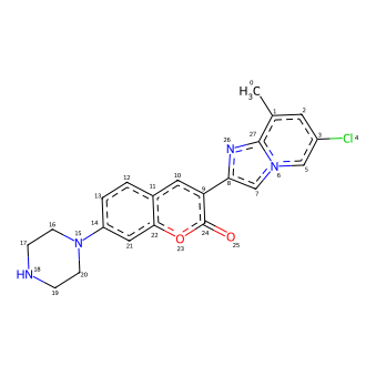 Cc1cc(Cl)cn2cc(-c3cc4ccc(N5CCNCC5)cc4oc3=O)nc12